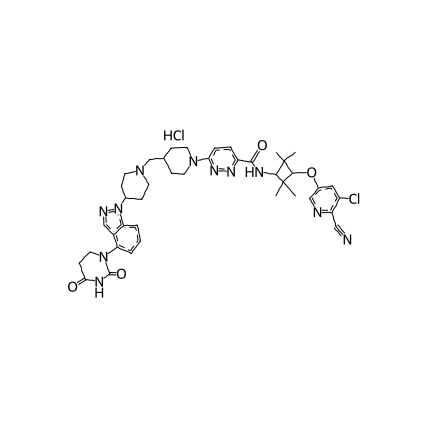 CC1(C)C(NC(=O)c2ccc(N3CCC(CN4CCC(n5ncc6c(N7CCC(=O)NC7=O)cccc65)CC4)CC3)nn2)C(C)(C)C1Oc1cnc(C#N)c(Cl)c1.Cl